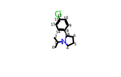 CC(C)N1CCC[C@@H]1c1ccc(Cl)cc1